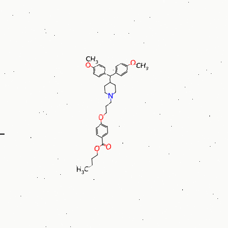 CCCCOC(=O)c1ccc(OCCCN2CCC(C(c3ccc(OC)cc3)c3ccc(OC)cc3)CC2)cc1